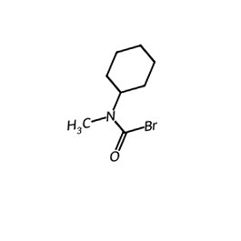 CN(C(=O)Br)C1CCCCC1